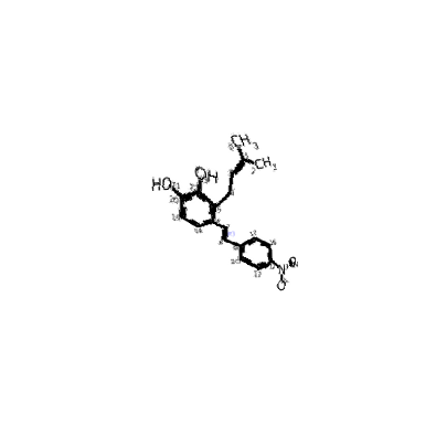 CC(C)=CCc1c(/C=C/c2ccc([N+](=O)[O-])cc2)ccc(O)c1O